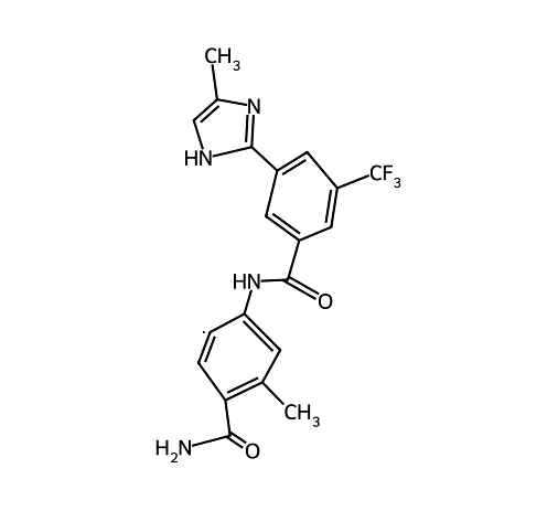 Cc1c[nH]c(-c2cc(C(=O)Nc3[c]cc(C(N)=O)c(C)c3)cc(C(F)(F)F)c2)n1